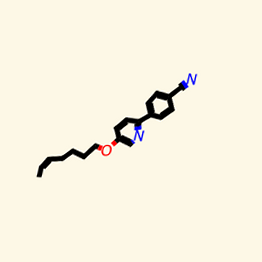 C/C=C\CCCCOc1ccc(-c2ccc(C#N)cc2)nc1